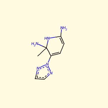 CC1(N)NC(N)=CC=C1n1nccn1